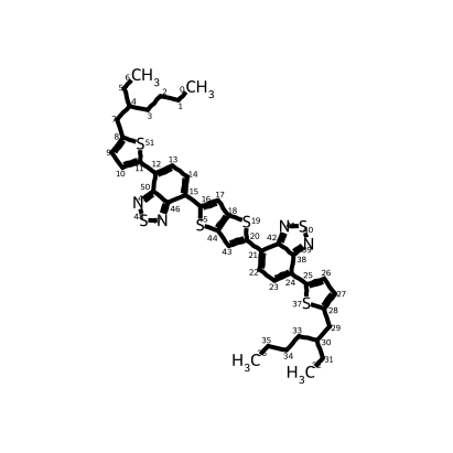 CCCCC(CC)Cc1ccc(-c2ccc(-c3cc4sc(-c5ccc(-c6ccc(CC(CC)CCCC)s6)c6nsnc56)cc4s3)c3nsnc23)s1